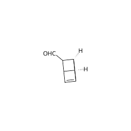 O=CC1C2C=C3[C@H]1[C@@H]32